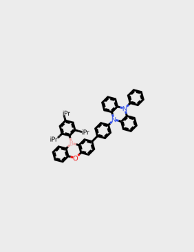 CC(C)c1cc(C(C)C)c(B2c3ccccc3Oc3ccc(-c4ccc(N5c6ccccc6N(c6ccccc6)c6ccccc65)cc4)cc32)c(C(C)C)c1